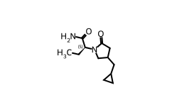 CC[C@@H](C(N)=O)N1CC(CC2CC2)CC1=O